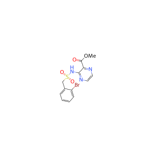 COC(=O)c1nccnc1NS(=O)(=O)Cc1ccccc1Br